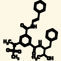 [CH2]C(O)C(Cc1ccccc1)NC(=O)c1cc(C(=O)NC=Cc2ccccc2)cc(N(C)S(C)(=O)=O)c1